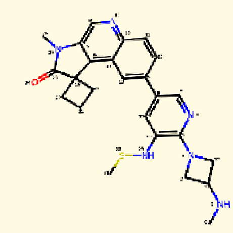 CNC1CN(c2ncc(-c3ccc4ncc5c(c4c3)C3(CCC3)C(=O)N5C)cc2NSC)C1